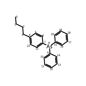 CCCCc1ccc([As](c2ccccc2)c2ccccc2)cc1